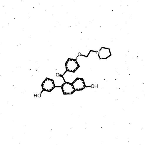 O=C(c1ccc(OCCN2CCCCC2)cc1)c1c(-c2cccc(O)c2)ccc2cc(O)ccc12